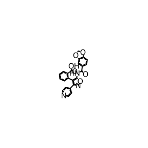 O=C(Nc1onc(-c2ccncc2)c1-c1ccccc1C(=O)O)c1ccc2c(c1)OCO2